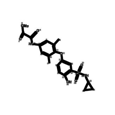 COC(=O)C(=O)Nc1cc(C)c(Oc2ccc(O)c(S(=O)(=O)NC3CC3)c2)c(C)c1